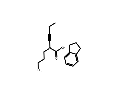 CCCCN(C#CCI)C(=O)O.c1ccc2c(c1)CCC2